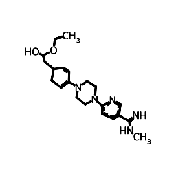 CCOC(O)CC1C=CC(N2CCN(c3ccc(C(=N)NC)cn3)CC2)=CC1